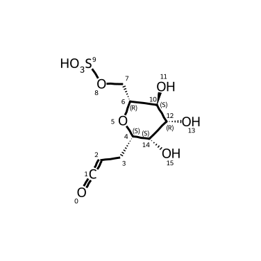 O=C=CC[C@@H]1O[C@H](COS(=O)(=O)O)[C@@H](O)[C@H](O)[C@@H]1O